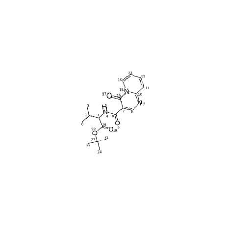 CC(C)C(NC(=O)c1cnc2ccccn2c1=O)C(=O)OC(C)(C)C